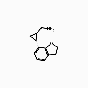 NC[C@@H]1C[C@H]1c1cccc2c1OCC2